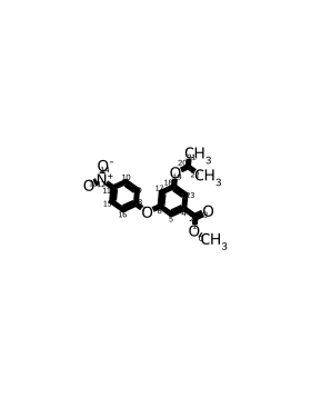 COC(=O)c1cc(Oc2ccc([N+](=O)[O-])cc2)cc(OC(C)C)c1